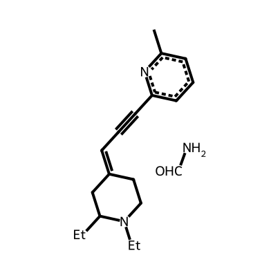 CCC1CC(=CC#Cc2cccc(C)n2)CCN1CC.NC=O